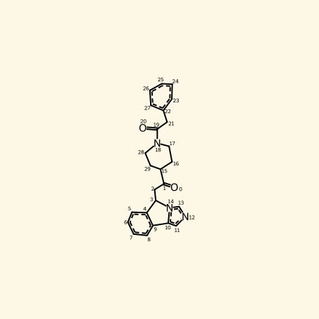 O=C(CC1c2ccccc2-c2cncn21)C1CCN(C(=O)Cc2ccccc2)CC1